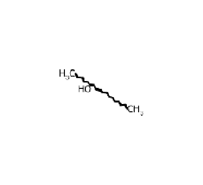 CCCCCCCCCCC=CCC(O)CCCCCC